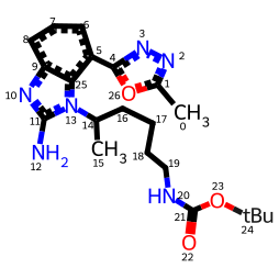 Cc1nnc(-c2cccc3nc(N)n(C(C)CCCCNC(=O)OC(C)(C)C)c23)o1